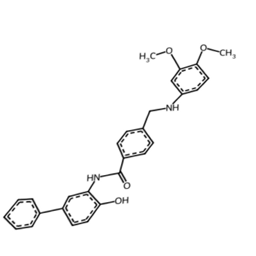 COc1ccc(NCc2ccc(C(=O)Nc3cc(-c4ccccc4)ccc3O)cc2)cc1OC